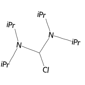 CC(C)N(C(C)C)C(Cl)N(C(C)C)C(C)C